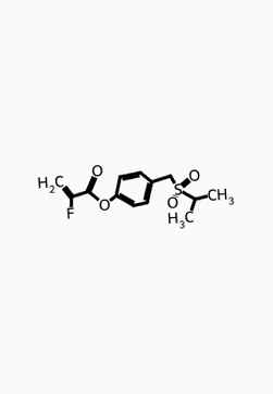 C=C(F)C(=O)Oc1ccc(CS(=O)(=O)C(C)C)cc1